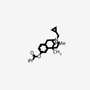 CNC1C2Cc3ccc(OC(=O)C(C)C)cc3C1(C)CCN2CC1CC1